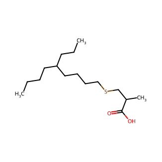 CCCCC(CCC)CCCCSCC(C)C(=O)O